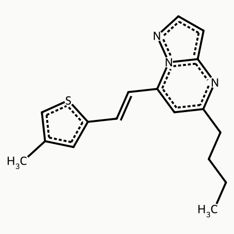 CCCCc1cc(C=Cc2cc(C)cs2)n2nccc2n1